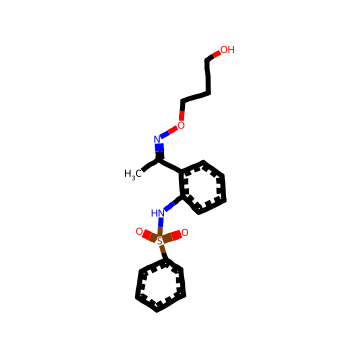 C/C(=N/OCCCO)c1ccccc1NS(=O)(=O)c1cc[c]cc1